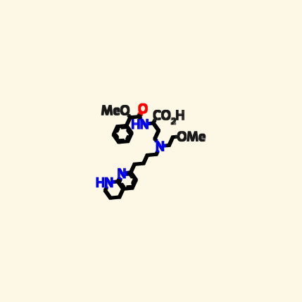 COCCN(CCCCc1ccc2c(n1)NCCC2)CCC(NC(=O)C(OC)c1ccccc1)C(=O)O